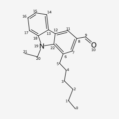 CCCCCCc1cc(C=O)cc2c3ccccc3n(CC)c12